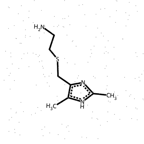 Cc1nc(CSCCN)c(C)[nH]1